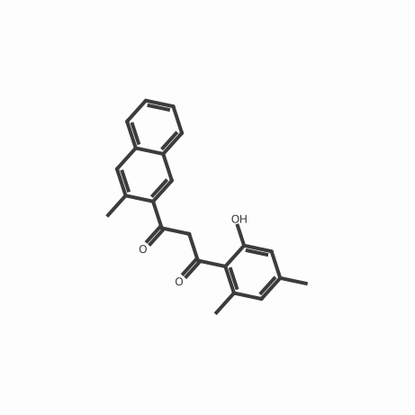 Cc1cc(C)c(C(=O)CC(=O)c2cc3ccccc3cc2C)c(O)c1